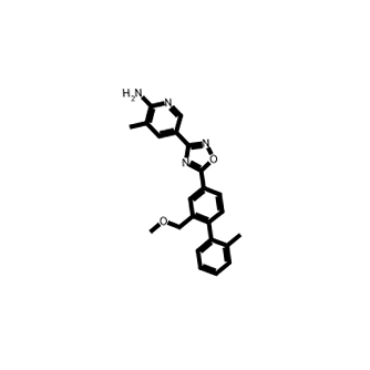 COCc1cc(-c2nc(-c3cnc(N)c(C)c3)no2)ccc1-c1ccccc1C